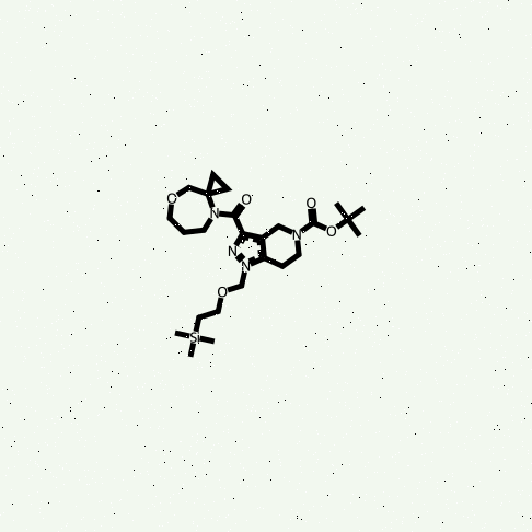 CC(C)(C)OC(=O)N1CCc2c(c(C(=O)N3CCCOCC34CC4)nn2COCC[Si](C)(C)C)C1